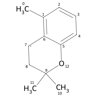 Cc1cccc2c1[CH]CC(C)(C)O2